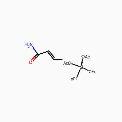 CC=CC(N)=O.CCC[Si](OC(C)=O)(OC(C)=O)OC(C)=O